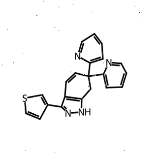 C1=CC(c2ccccn2)(c2ccccn2)Cc2[nH]nc(-c3ccsc3)c21